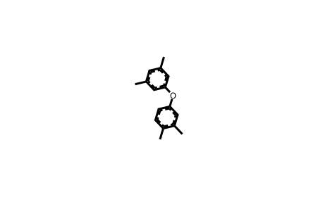 Cc1cc(C)cc(Oc2ccc(C)c(C)c2)c1